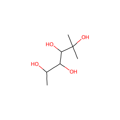 CC(O)C(O)C(O)C(C)(C)O